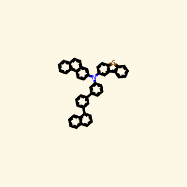 c1cc(-c2cccc(N(c3ccc4c(ccc5ccccc54)c3)c3ccc4sc5ccccc5c4c3)c2)cc(-c2cccc3ccccc23)c1